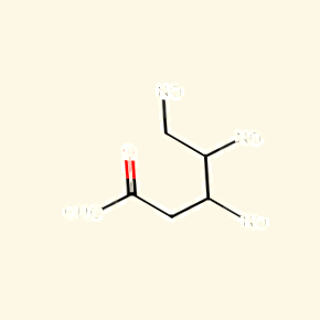 O=CC(=O)CC(N=O)C(CN=O)N=O